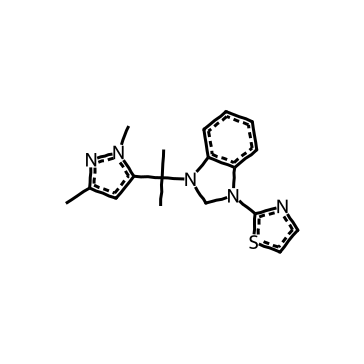 Cc1cc(C(C)(C)N2CN(c3nccs3)c3ccccc32)n(C)n1